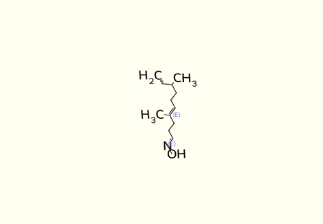 C=CC(C)CC/C=C(\C)CC/C=N/O